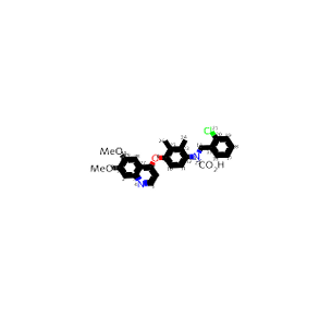 COc1cc2nccc(Oc3ccc(N(Cc4ccccc4Cl)C(=O)O)c(C)c3C)c2cc1OC